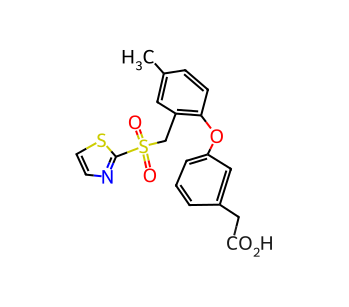 Cc1ccc(Oc2cccc(CC(=O)O)c2)c(CS(=O)(=O)c2nccs2)c1